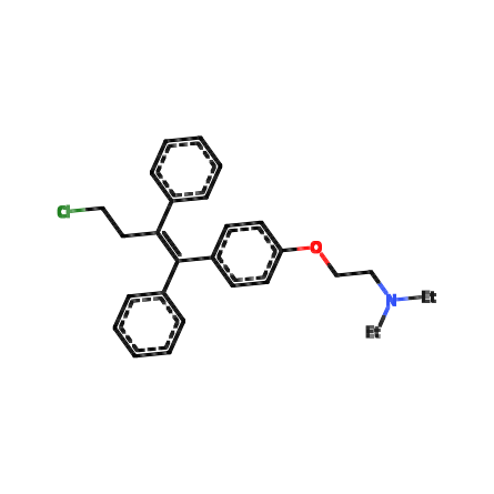 CCN(CC)CCOc1ccc(C(=C(CCCl)c2ccccc2)c2ccccc2)cc1